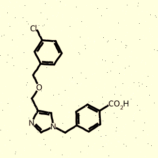 O=C(O)c1ccc(Cn2cnc(COCc3cccc(Cl)c3)c2)cc1